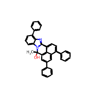 CC1(O)c2cc(-c3ccccc3)cc3c(-c4ccccc4)ccc(c23)-c2nc3c(-c4ccccc4)cccc3n21